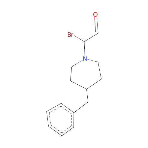 O=CC(Br)N1CCC(Cc2ccccc2)CC1